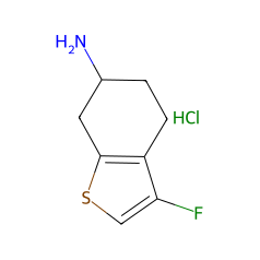 Cl.NC1CCc2c(F)csc2C1